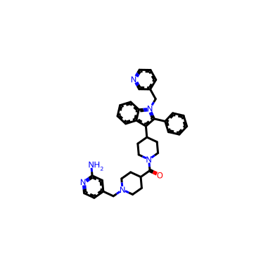 Nc1cc(CN2CCC(C(=O)N3CCC(c4c(-c5ccccc5)n(Cc5cccnc5)c5ccccc45)CC3)CC2)ccn1